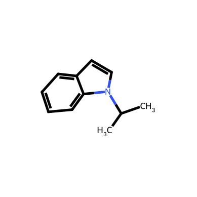 CC(C)n1ccc2ccccc21